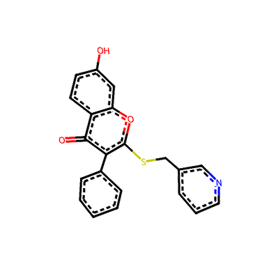 O=c1c(-c2ccccc2)c(SCc2cccnc2)oc2cc(O)ccc12